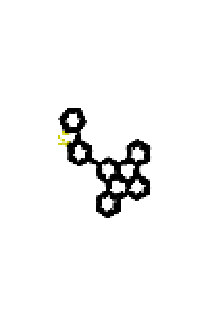 c1ccc2c(c1)sc1ccc(-c3cc4c5ccccc5c5cccc6c7ccccc7c(c3)c4c56)cc12